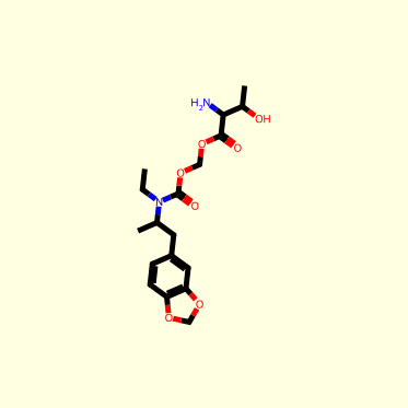 CCN(C(=O)OCOC(=O)C(N)C(C)O)C(C)Cc1ccc2c(c1)OCO2